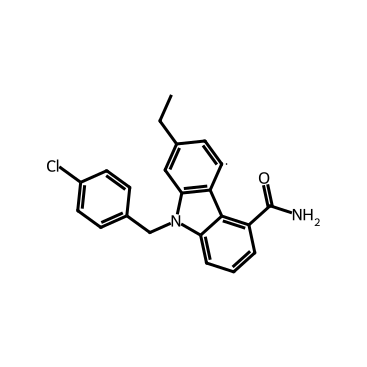 CCc1c[c]c2c3c(C(N)=O)cccc3n(Cc3ccc(Cl)cc3)c2c1